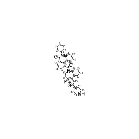 O=C(Nc1ccccc1)c1cccc(C(=O)N2CCC(F)(F)C(=CC(=O)N3CCNCC3)c3ccccc32)c1-c1ccccc1